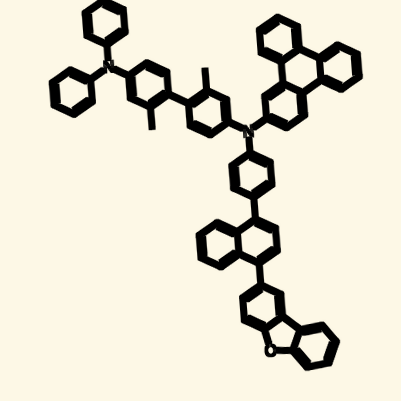 Cc1cc(N(c2ccccc2)c2ccccc2)ccc1-c1ccc(N(c2ccc(-c3ccc(-c4ccc5oc6ccccc6c5c4)c4ccccc34)cc2)c2ccc3c4ccccc4c4ccccc4c3c2)cc1C